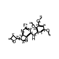 COc1cc(Nc2nc(F)nc3c2ncn3C2CCO2)c(OC)c(OC)c1